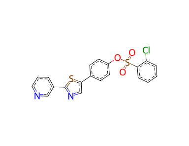 O=S(=O)(Oc1ccc(-c2cnc(-c3cccnc3)s2)cc1)c1ccccc1Cl